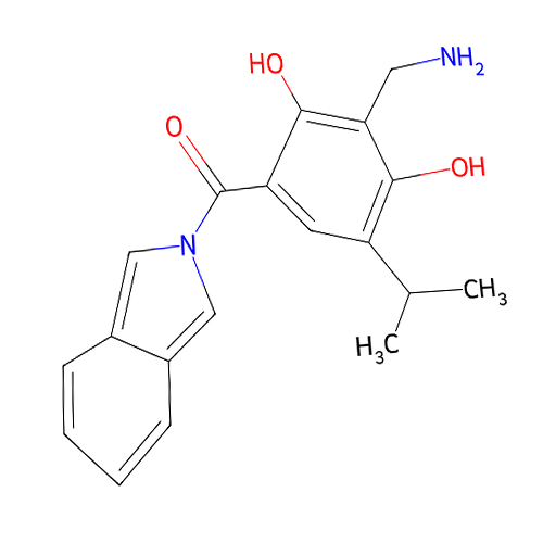 CC(C)c1cc(C(=O)n2cc3ccccc3c2)c(O)c(CN)c1O